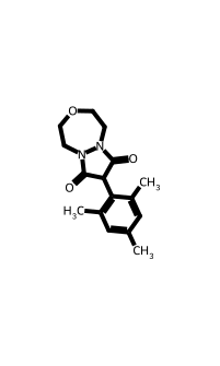 Cc1cc(C)c(C2C(=O)N3CCOCCN3C2=O)c(C)c1